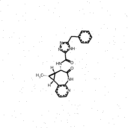 C[C@]12[C@H]3[C@@H]1c1cccnc1NC(=O)[C@@]32NC(=O)c1nnc(Cc2ccccc2)[nH]1